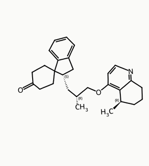 C[C@@H](COc1ccnc2c1[C@H](C)CCC2)C[C@H]1Cc2ccccc2C12CCC(=O)CC2